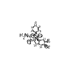 Cc1ccc(S(=O)(=O)n2c(C(=O)CN)cc3cc(Br)c(F)cc32)cc1